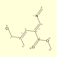 C=N/C=C(\C=C(/C)CCl)C(=O)OC